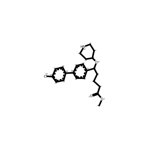 COC(=O)CCCC(OC1CCNCC1)c1ccc(-c2ccc(Cl)cc2)cc1